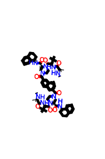 CN[C@@H](C)C(=O)N[C@H](C(=O)N1CCN(C(=O)c2ccc3cc(C(=O)N4CCN(C(=O)[C@@H](NC(=O)[C@H](C)NC)C(C)(C)C)[C@H](C(=O)N[C@@H]5CCCc6ccccc65)C4)ccc3c2)C[C@H]1C(=O)N[C@@H]1CCCc2ccccc21)C(C)(C)C